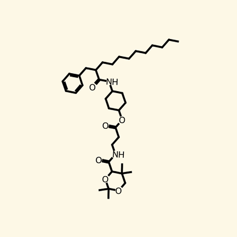 CCCCCCCCCCC(Cc1ccccc1)C(=O)NC1CCC(OC(=O)CCNC(=O)C2OC(C)(C)OCC2(C)C)CC1